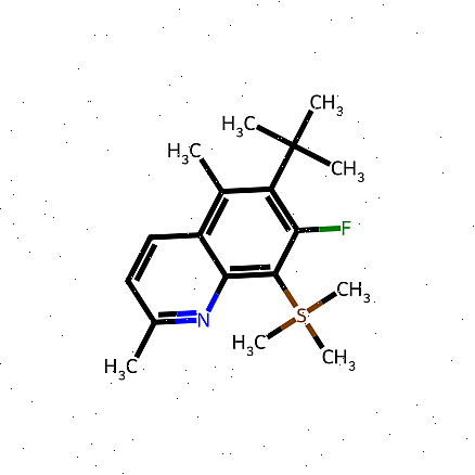 Cc1ccc2c(C)c(C(C)(C)C)c(F)c(S(C)(C)C)c2n1